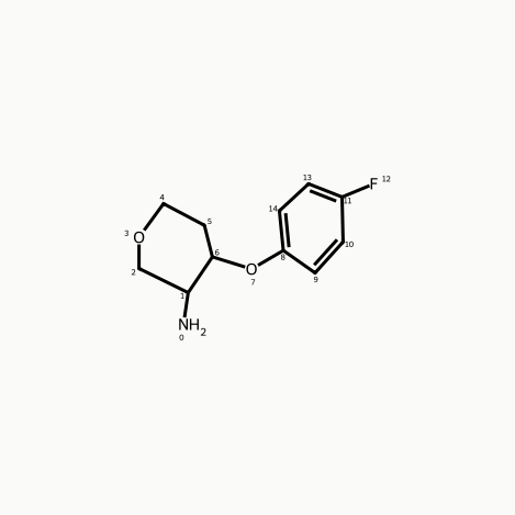 NC1COCCC1Oc1ccc(F)cc1